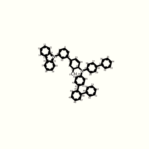 CC1C=C(c2cccc(-n3c4ccccc4c4ccccc43)c2)C=CC1N(c1ccc(-c2ccccc2)cc1)c1ccc(-c2ccccc2-c2ccccc2)cc1